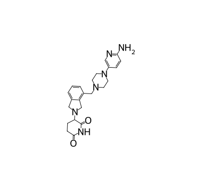 Nc1ccc(N2CCN(Cc3cccc4c3CN(C3CCC(=O)NC3=O)C4)CC2)cn1